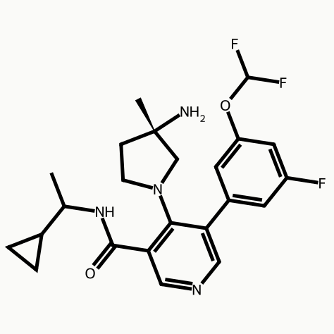 CC(NC(=O)c1cncc(-c2cc(F)cc(OC(F)F)c2)c1N1CC[C@](C)(N)C1)C1CC1